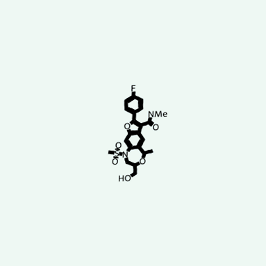 CNC(=O)c1c(-c2ccc(F)cc2)oc2cc3c(cc12)C(C)OC(CO)CN3S(C)(=O)=O